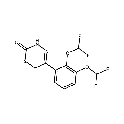 O=C1NN=C(c2cccc(OC(F)F)c2OC(F)F)CS1